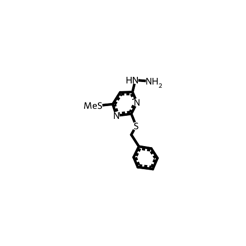 CSc1cc(NN)nc(SCc2ccccc2)n1